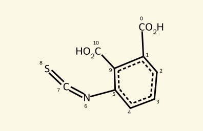 O=C(O)c1cccc(N=C=S)c1C(=O)O